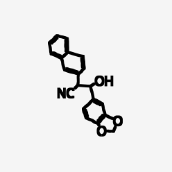 N#CC(c1ccc2ccccc2c1)C(O)c1ccc2c(c1)OCO2